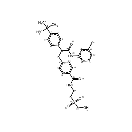 CC(C)(C)c1ccc(C(Cc2ccc(C(=O)NCCS(=O)(=O)CO)cc2)C(=O)Nc2cccc(I)c2)cc1